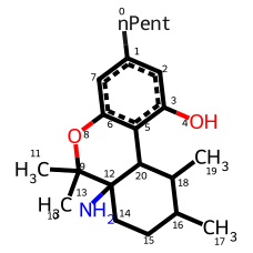 CCCCCc1cc(O)c2c(c1)OC(C)(C)C1(N)CCC(C)C(C)C21